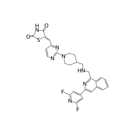 O=C1NC(=O)/C(=C/c2ccnc(N3CCC(CNCc4nc(-c5cc(F)nc(F)c5)cc5ccccc45)CC3)n2)S1